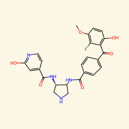 COc1ccc(O)c(C(=O)c2ccc(C(=O)NC3CNC[C@H]3NC(=O)c3ccnc(O)c3)cc2)c1F